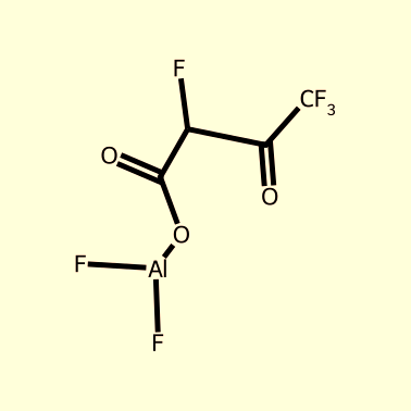 O=C([O][Al]([F])[F])C(F)C(=O)C(F)(F)F